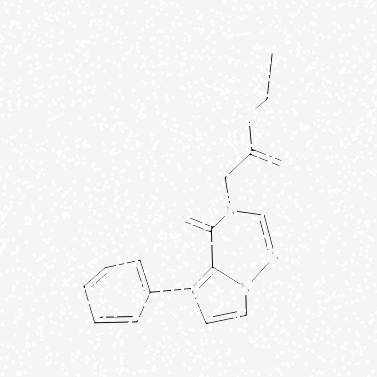 CCOC(=O)Cn1cnn2ccc(-c3ccccc3)c2c1=O